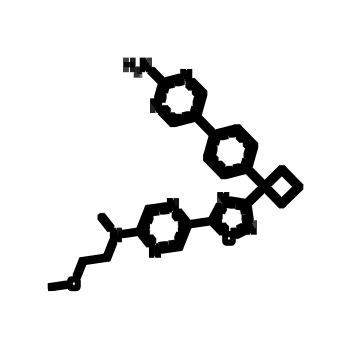 COCCN(C)c1cnc(-c2nc(C3(c4ccc(-c5cnc(N)nc5)cc4)CCC3)no2)cn1